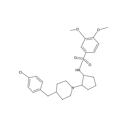 COc1ccc(S(=O)(=O)NC2CCCC2N2CCC(Cc3ccc(Cl)cc3)CC2)cc1OC